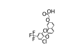 O=C(O)COc1ccc2ccc(Oc3c(Cl)cc(C(F)(F)F)cc3Cl)cc2c1